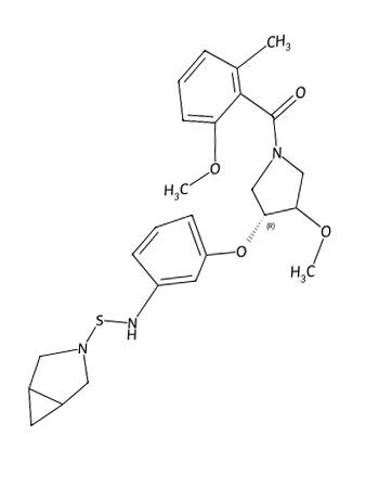 COc1cccc(C)c1C(=O)N1CC(OC)[C@H](Oc2cccc(NSN3CC4CC4C3)c2)C1